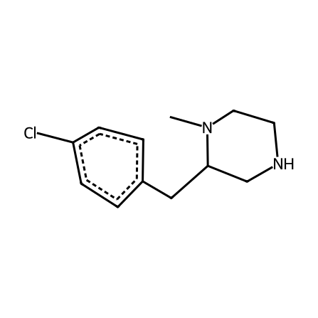 CN1CCNCC1Cc1ccc(Cl)cc1